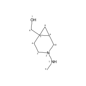 CNN1CCC2(CO)CC2C1